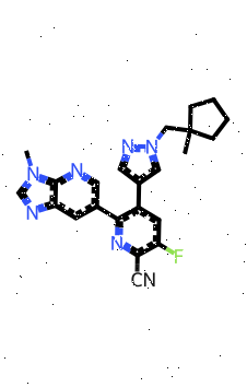 Cn1cnc2cc(-c3nc(C#N)c(F)cc3-c3cnn(CC4(C)CCCC4)c3)cnc21